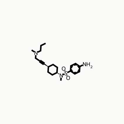 CCCN(C)CC#C[C@H]1CC[C@H](N(C)S(=O)(=O)c2ccc(N)cc2)CC1